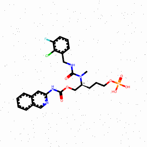 CN(C(=O)NCc1cccc(F)c1Cl)[C@@H](CCCOP(=O)(O)O)COC(=O)Nc1cc2ccccc2cn1